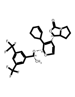 C[C@@H](O[C@H]1OC=CC([C@@H]2OC(=O)N3CCCC23)=C1C1C=CCCC1)c1cc(C(F)(F)F)cc(C(F)(F)F)c1